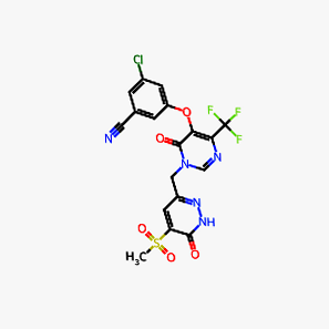 CS(=O)(=O)c1cc(Cn2cnc(C(F)(F)F)c(Oc3cc(Cl)cc(C#N)c3)c2=O)n[nH]c1=O